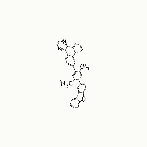 Cc1cc(-c2ccc3c(c2)c2ccccc2c2nccnc32)c(C)cc1-c1ccc2oc3ccccc3c2c1